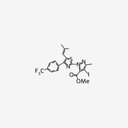 COC(=O)c1c(I)c(C)nn1-c1nc(-c2ccc(C(F)(F)F)cc2)c(C=C(C)C)s1